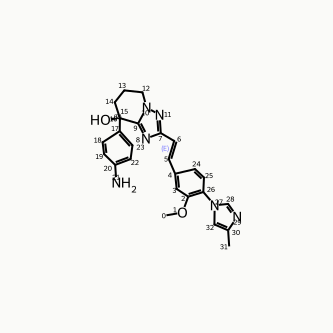 COc1cc(/C=C/c2nc3n(n2)CCC[C@@]3(O)c2ccc(N)cc2)ccc1-n1cnc(C)c1